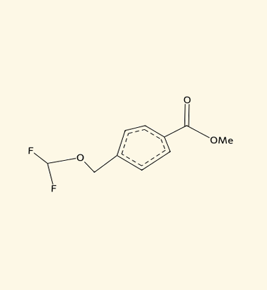 COC(=O)c1ccc(COC(F)F)cc1